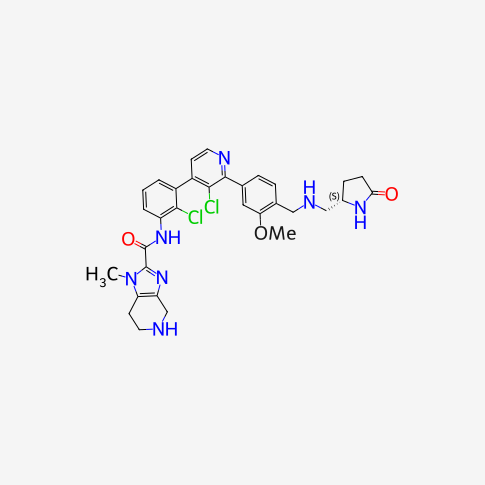 COc1cc(-c2nccc(-c3cccc(NC(=O)c4nc5c(n4C)CCNC5)c3Cl)c2Cl)ccc1CNC[C@@H]1CCC(=O)N1